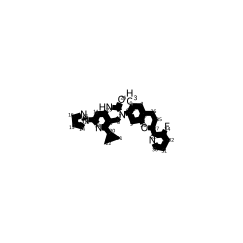 Cc1cc2c(cc1N1Cc3c(cc(-n4cccn4)nc3C3CC3)NC1=O)OC(c1ncccc1F)CC2